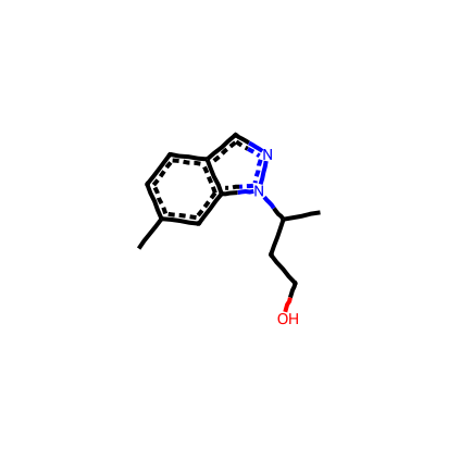 Cc1ccc2cnn(C(C)CCO)c2c1